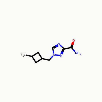 NC(=O)c1ncn(CC2CC(C(F)(F)F)C2)n1